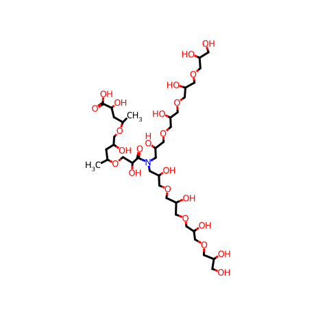 CC(CC(O)COC(C)CC(O)C(=O)O)OCC(O)C(=O)N(CC(O)COCC(O)COCC(O)COCC(O)CO)CC(O)COCC(O)COCC(O)COCC(O)CO